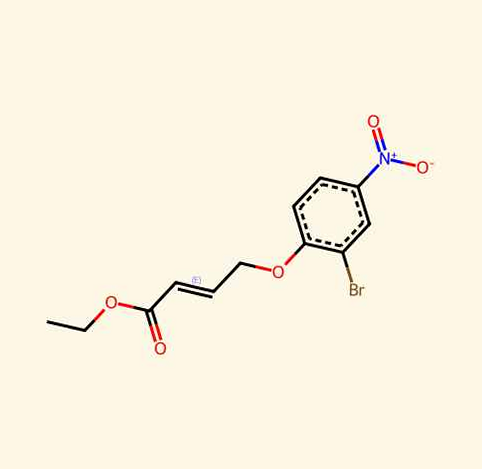 CCOC(=O)/C=C/COc1ccc([N+](=O)[O-])cc1Br